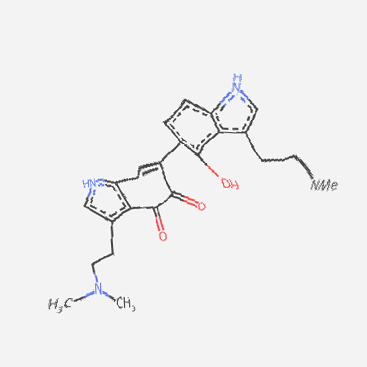 CNCCc1c[nH]c2ccc(C3=Cc4[nH]cc(CCN(C)C)c4C(=O)C3=O)c(O)c12